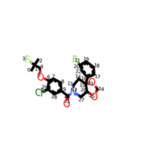 CC(C)(F)COc1ccc(C(=O)N2CCC3(c4cccc(F)c4)OCOC3C2)cc1Cl